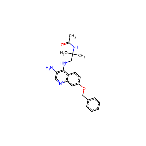 CC(=O)NC(C)(C)CNc1c(N)cnc2cc(OCc3ccccc3)ccc12